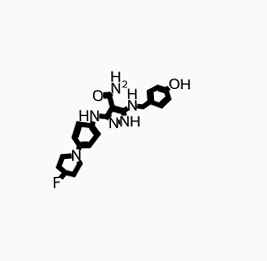 NC(=O)c1c(Nc2ccc(N3CCC(F)CC3)cc2)n[nH]c1NCc1ccc(O)cc1